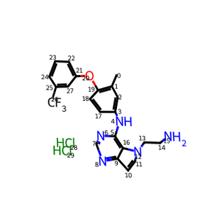 Cc1cc(Nc2ncnc3ccn(CCN)c23)ccc1Oc1cccc(C(F)(F)F)c1.Cl.Cl